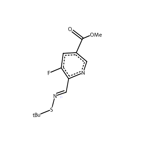 COC(=O)c1cnc(/C=N/SC(C)(C)C)c(F)c1